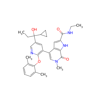 CCNC(=O)c1cc2c(-c3cc(C(O)(CC)C4CC4)cnc3Oc3c(C)cccc3C)cn(C)c(=O)c2[nH]1